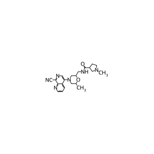 CC1CN(c2cnc(C#N)c3ncccc23)CC(CNC(=O)C2CCN(C)C2)O1